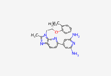 Cc1ccccc1O[C@@H](C)Cn1c(C)nc2ccc(-c3cc(N)nc(N)c3)nc21